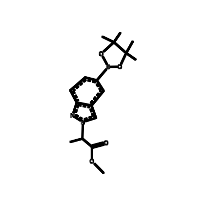 COC(=O)C(C)n1cc2cc(B3OC(C)(C)C(C)(C)O3)ccc2n1